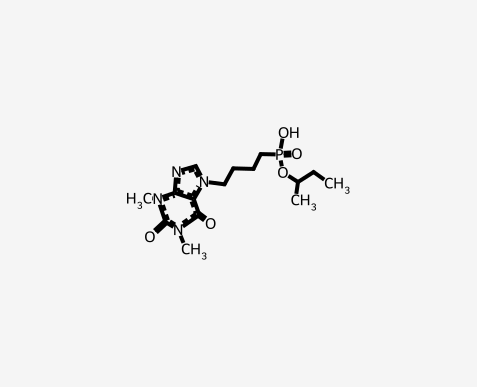 CCC(C)OP(=O)(O)CCCCn1cnc2c1c(=O)n(C)c(=O)n2C